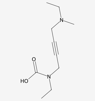 CCN(C)CC#CCN(CC)C(=O)O